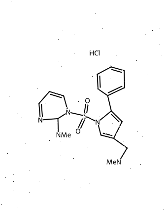 CNCc1cc(-c2ccccc2)n(S(=O)(=O)N2C=CC=NC2NC)c1.Cl